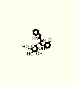 OC[C@H]1OC(Oc2cc3cccc(O)c3nc2-c2cc3ccccc3[nH]2)[C@H](O)[C@@H](O)[C@H]1O